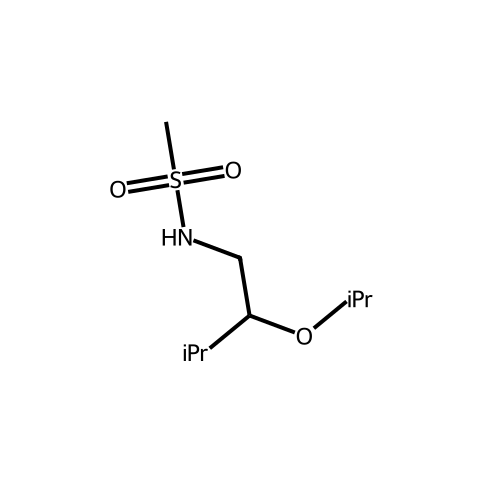 CC(C)OC(CNS(C)(=O)=O)C(C)C